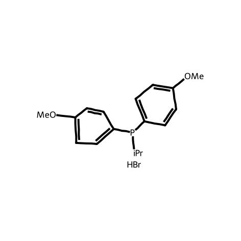 Br.COc1ccc(P(c2ccc(OC)cc2)C(C)C)cc1